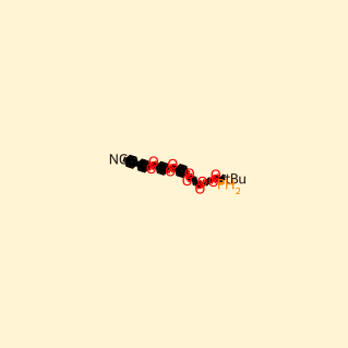 CC(C)(C)CC(P)C(=O)OCCOC(=O)CCC(=O)Oc1ccc(C(=O)Oc2ccc(C(=O)Oc3ccc(-c4ccc(C#N)cc4)cc3)cc2)cc1